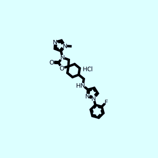 Cl.Cn1cncc1N1CC2(CCC(CNc3ccn(-c4ccccc4F)n3)CC2)OC1=O